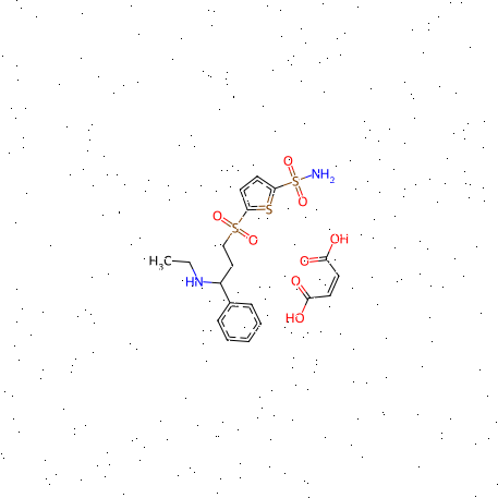 CCNC(CCS(=O)(=O)c1ccc(S(N)(=O)=O)s1)c1ccccc1.O=C(O)/C=C\C(=O)O